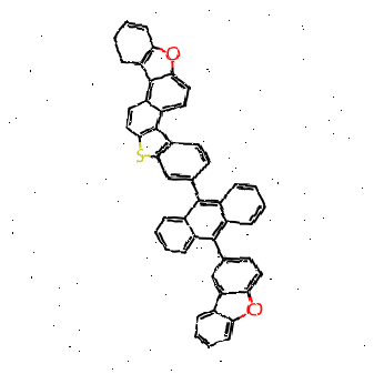 C1=Cc2oc3ccc4c(ccc5sc6cc(-c7c8ccccc8c(-c8ccc9oc%10ccccc%10c9c8)c8ccccc78)ccc6c54)c3c2CC1